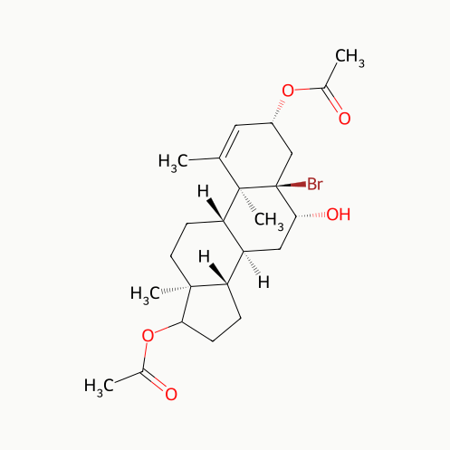 CC(=O)OC1CC[C@H]2[C@@H]3C[C@@H](O)[C@@]4(Br)C[C@@H](OC(C)=O)C=C(C)[C@]4(C)[C@H]3CC[C@]12C